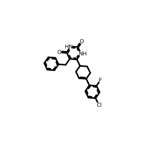 O=c1[nH]c(C2CC=C(c3ccc(Cl)cc3F)CC2)c(Cc2ccccc2)c(=O)[nH]1